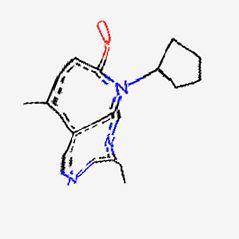 Cc1ncc2c(C)cc(=O)n(C3CCCC3)c2n1